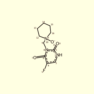 O=c1[nH]cc(F)c(=O)n1C[N+]1([O-])CCCCC1